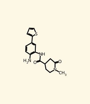 CN1CCC(C(=O)Nc2cc(-c3cccs3)ccc2N)CC1=O